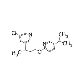 CC(C)c1ccc(OCC[C@H](C)c2cncc(Cl)c2)nc1